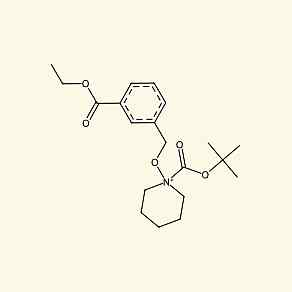 CCOC(=O)c1cccc(CO[N+]2(C(=O)OC(C)(C)C)CCCCC2)c1